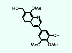 COc1cc(-c2cnc3c(OC)c(CO)ccc3c2)cc(O)c1OC